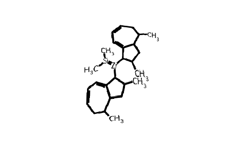 CC1CC=CC=C2C1CC(C)[CH]2[Zr]([CH]1C2=CC=CCC(C)C2CC1C)=[Si](C)C